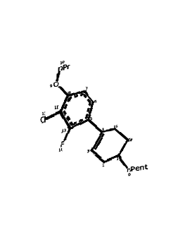 CCCCCC1CC=C(c2ccc(OCCC)c(Cl)c2F)CC1